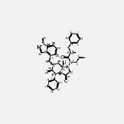 CCCN(C(=O)NCc1ccccc1)N1CC(=O)N2[C@@H](c3ccccc3)C(=O)N(Cc3cccc4c3cnn4C)C[C@@H]21